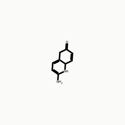 NC1=CC=C2CC(=O)C=CC2N1